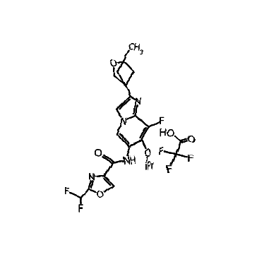 CC(C)Oc1c(NC(=O)c2coc(C(F)F)n2)cn2cc(C34COC(C)(C3)C4)nc2c1F.O=C(O)C(F)(F)F